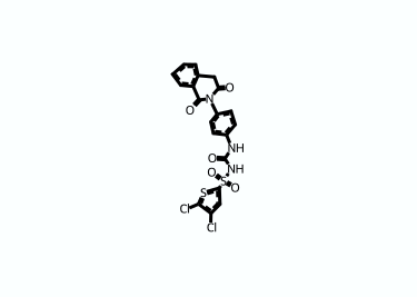 O=C(Nc1ccc(N2C(=O)Cc3ccccc3C2=O)cc1)NS(=O)(=O)c1cc(Cl)c(Cl)s1